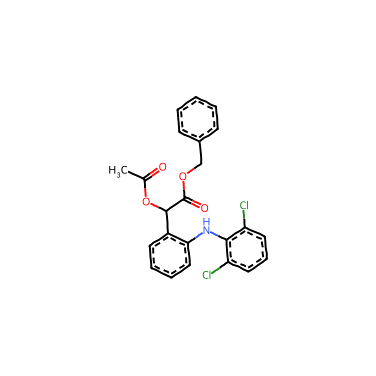 CC(=O)OC(C(=O)OCc1ccccc1)c1ccccc1Nc1c(Cl)cccc1Cl